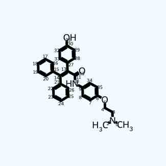 CN(C)CCOc1ccc(NC(=O)C(=C(c2ccccc2)c2ccccc2)c2ccc(O)cc2)cc1